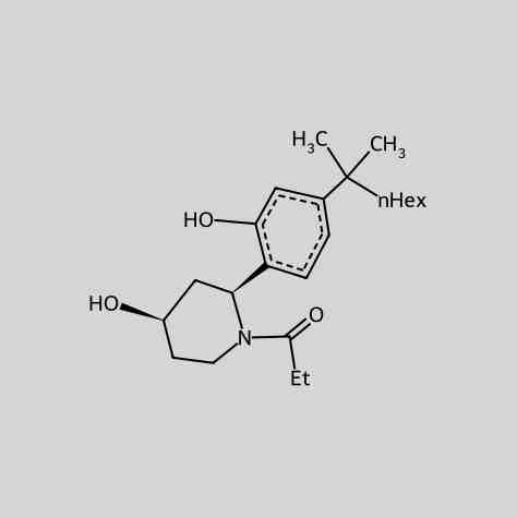 CCCCCCC(C)(C)c1ccc([C@@H]2C[C@H](O)CCN2C(=O)CC)c(O)c1